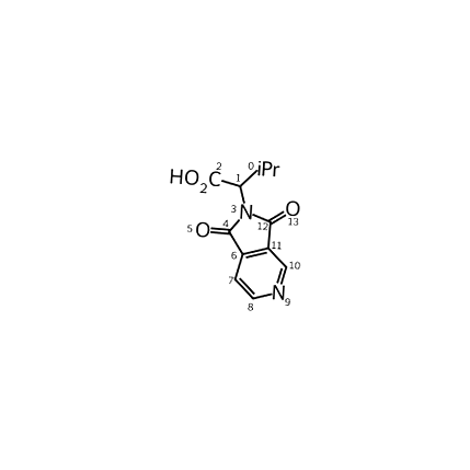 CC(C)C(C(=O)O)N1C(=O)c2ccncc2C1=O